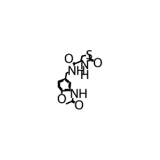 O=C1COc2ccc(CNC(=O)C3CSC(=O)N3)cc2N1